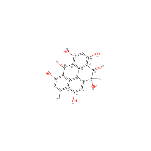 Cc1cc(O)c2c3c4c(cc(O)c13)C(C)(O)C(=O)c1c(O)cc(O)c(c1-4)C2=O